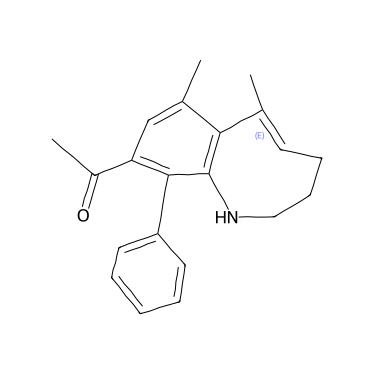 CC(=O)c1cc(C)c2c(c1-c1ccccc1)NCCC/C=C/2C